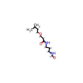 CC(C)CCOCCC(=O)NCCCNC=O